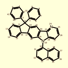 c1ccc(C2(c3ccccc3)c3ccccc3-c3cc4c(cc32)c2ncccc2n4-c2cccc3ccccc23)cc1